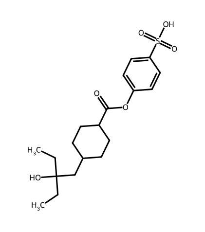 CCC(O)(CC)CC1CCC(C(=O)Oc2ccc(S(=O)(=O)O)cc2)CC1